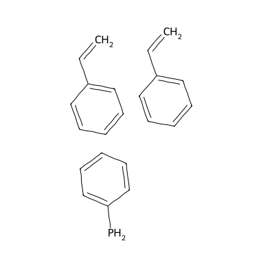 C=Cc1ccccc1.C=Cc1ccccc1.Pc1ccccc1